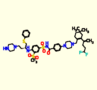 C=C(CCC(F)F)C1=C(CN2CCN(c3ccc(C(=O)NS(=O)(=O)c4ccc(N[C@H](CCN5CCNCC5)CSc5ccccc5)c(S(=O)(=O)C(F)(F)F)c4)cc3)CC2)CCC(C)(C)C1